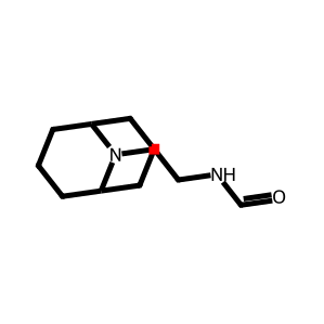 O=CNCCN1C2CCCC1CCC2